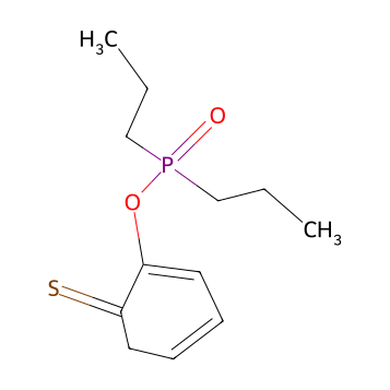 CCCP(=O)(CCC)OC1=CC=CCC1=S